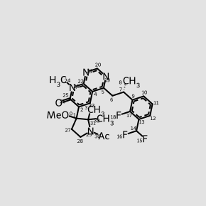 COC1(c2cc3c(C[C@H](C)c4cccc(C(F)F)c4F)ncnc3n(C)c2=O)CCN(C(C)=O)C1(C)C